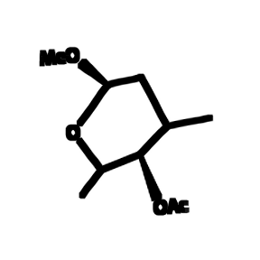 CO[C@H]1CC(C)[C@@H](OC(C)=O)C(C)O1